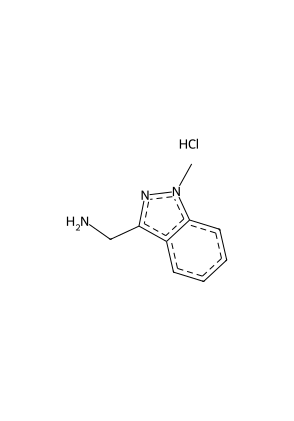 Cl.Cn1nc(CN)c2ccccc21